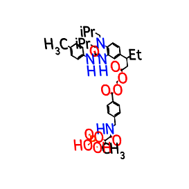 CC[C@@H](CC(=O)OCOC(=O)c1ccc(CNC(=O)[C@H](C)OP(=O)(O)O)cc1)c1ccc(N(CC(C)C)CC(C)C)c(NC(=O)Nc2ccc(C)cc2)c1